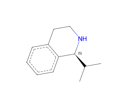 CC(C)[C@@H]1NCCc2ccccc21